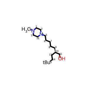 CN1CCN(CCCCC[C@@H](CO)CCC(C)(C)C)CC1